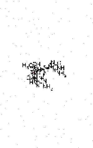 CP(=O)(O)OC[C@@]12CO[C@@H]([C@H](n3cnc4c(N)ncnc43)O1)[C@@H]2OP(=O)(S)OC[C@H]1S[C@@H](n2cnc3c(=O)[nH]c(N)nc32)C[C@H]1F